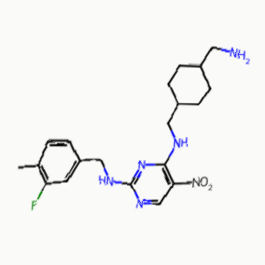 Cc1ccc(CNc2ncc([N+](=O)[O-])c(NCC3CCC(CN)CC3)n2)cc1F